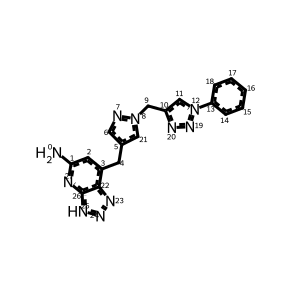 Nc1cc(Cc2cnn(Cc3cn(-c4ccccc4)nn3)c2)c2nn[nH]c2n1